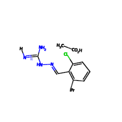 CC(=O)O.[H]/N=C(\N)NN=Cc1c(Cl)cccc1C(C)C